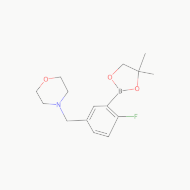 CC1(C)COB(c2cc(CN3CCOCC3)ccc2F)O1